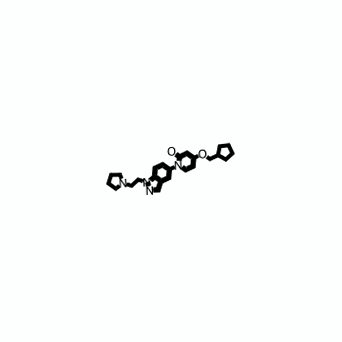 O=c1cc(OCC2CCCC2)ccn1-c1ccc2c(cnn2CCN2CCCC2)c1